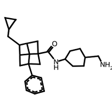 NCC1CCC(NC(=O)C23CC4C(CC5CC5)C5CC(c6ccccc6)(C2)C453)CC1